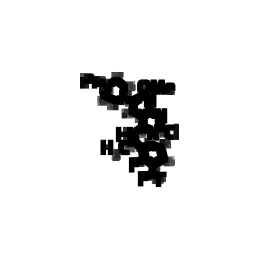 COc1nc2nc(Cl)nc(N[C@H](C)c3cccc(C(F)F)c3F)c2cc1N1CCN(C(C)C)CC1